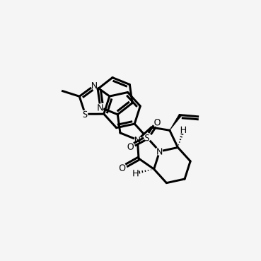 C=C[C@@H]1CN(Cc2ccccn2)C(=O)[C@@H]2CCC[C@H]1N2S(=O)(=O)c1ccc2nc(C)sc2c1